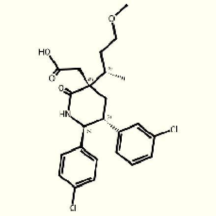 COCC[C@H](C)[C@]1(CC(=O)O)C[C@H](c2cccc(Cl)c2)[C@@H](c2ccc(Cl)cc2)NC1=O